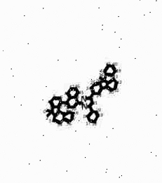 CC1(C)c2cccc(-c3ccc(-c4nc(-c5ccccc5)cc(-c5ccc6c(c5)-c5ccccc5C6(C)c5ccccc5)n4)c4ccccc34)c2-c2c1ccc1ccccc21